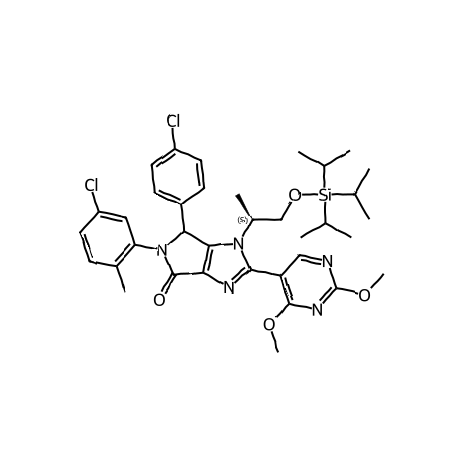 COc1ncc(-c2nc3c(n2[C@@H](C)CO[Si](C(C)C)(C(C)C)C(C)C)C(c2ccc(Cl)cc2)N(c2cc(Cl)ccc2C)C3=O)c(OC)n1